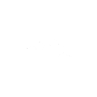 CC(C)(C)C(=O)ON1CCC(c2ccc(Br)cc2)C1